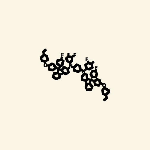 C=Cc1ccc(Oc2ccc(C3(c4ccc(F)cc4)c4ccccc4-c4ccc(N(c5ccc(N(c6ccc(C)c(F)c6)c6ccc7c(c6)[C@@](c6ccc(F)cc6)(c6ccc(Oc8ccc(C=C)cc8)cc6)c6ccccc6-7)cc5)c5ccc(C)c(F)c5)cc43)cc2)cc1